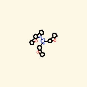 c1ccc2c(c1)oc1ccc(-c3nc(-c4ccc5oc6ccccc6c5c4)nc(-n4c5ccccc5c5ccc6c7ccccc7oc6c54)n3)cc12